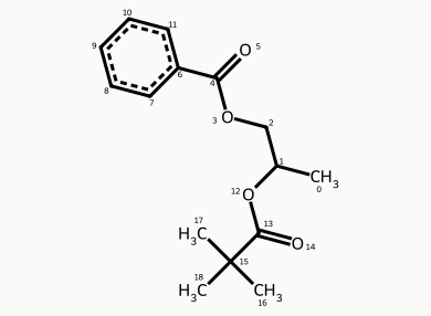 CC(COC(=O)c1ccccc1)OC(=O)C(C)(C)C